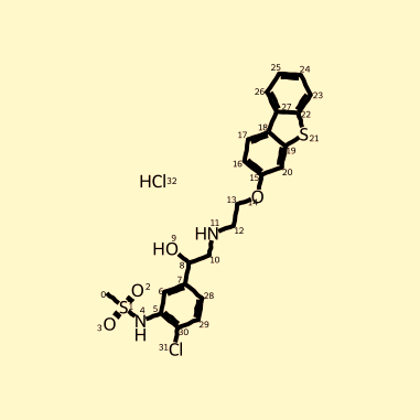 CS(=O)(=O)Nc1cc(C(O)CNCCOc2ccc3c(c2)sc2ccccc23)ccc1Cl.Cl